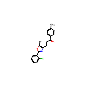 CC(=O)Oc1ccc(C(=O)CCc2nc(-c3ccccc3Cl)oc2C(C)C)cc1